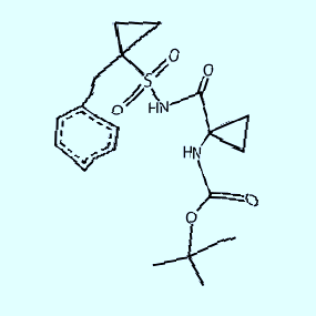 CC(C)(C)OC(=O)NC1(C(=O)NS(=O)(=O)C2(Cc3ccccc3)CC2)CC1